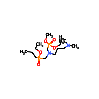 CCCP(=O)(CN(CCCN(C)C)CP(=O)(OC)OCC)OCC